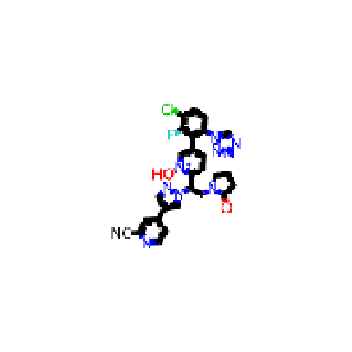 N#Cc1cc(-c2cnn(C(CN3CCCC3=O)c3ccc(-c4c(-n5cnnn5)ccc(Cl)c4F)c[n+]3O)c2)ccn1